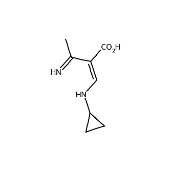 CC(=N)/C(=C\NC1CC1)C(=O)O